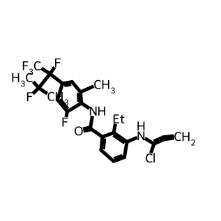 C=C=C(Cl)Nc1cccc(C(=O)Nc2c(C)cc(C(F)(C(C)(C)F)C(F)(F)F)cc2F)c1CC